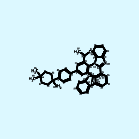 BC1(c2ccc(-c3cc(C(C)C)c(-n4c(-c5cccc6c5oc5ccccc56)nc5ccccc54)c(C(C)C)c3)cc2)CCC(C)(C)CC1